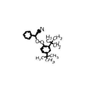 CC(C)(C)c1ccc(OOC(C#N)c2ccccc2)c(C(C)(C)C)c1